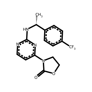 C[C@@H](Nc1nccc(N2CCOC2=O)n1)c1ccc(C(F)(F)F)cc1